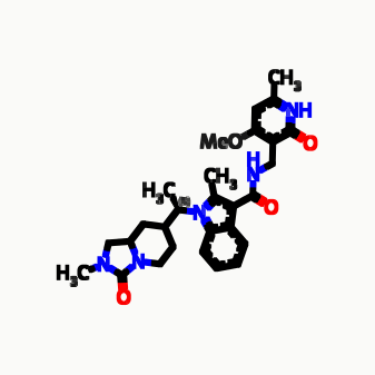 COc1cc(C)[nH]c(=O)c1CNC(=O)c1c(C)n([C@H](C)C2CCN3C(=O)N(C)CC3C2)c2ccccc12